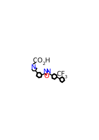 O=C(O)CCN1CCC(c2cccc(-c3nnc(-c4ccc(-c5ccccc5)c(C(F)(F)F)c4)o3)c2)C1